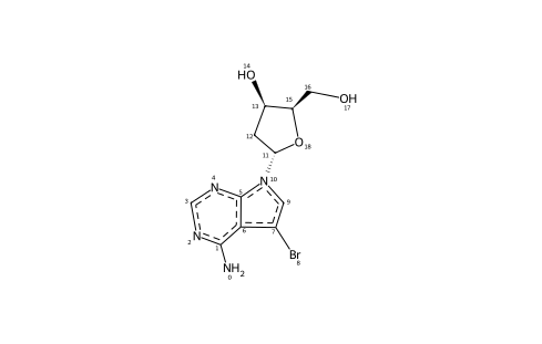 Nc1ncnc2c1c(Br)cn2[C@@H]1C[C@@H](O)[C@@H](CO)O1